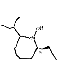 CC[C@H]1CCCC(C(C)C)N1O